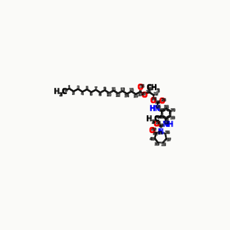 CCCCCCCCCCCCCCCCCC(=O)OC(C)COC(=O)Nc1cccc(NC(=O)N2CCCCCC2=O)c1C